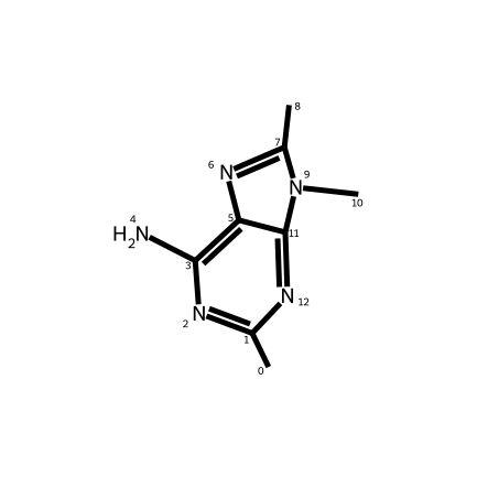 Cc1nc(N)c2nc(C)n(C)c2n1